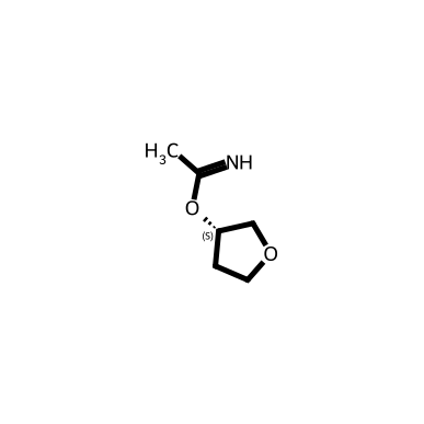 CC(=N)O[C@H]1CCOC1